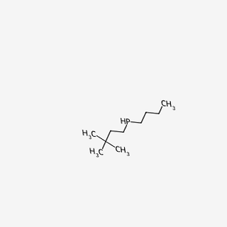 CCCCPCCC(C)(C)C